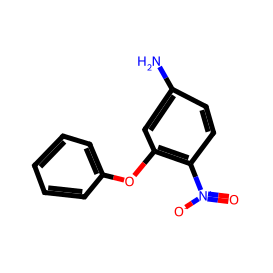 Nc1ccc([N+](=O)[O-])c(Oc2ccccc2)c1